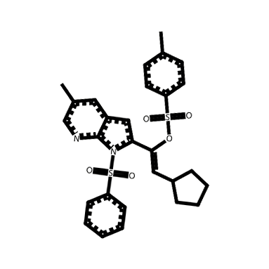 Cc1ccc(S(=O)(=O)OC(=CC2CCCC2)c2cc3cc(C)cnc3n2S(=O)(=O)c2ccccc2)cc1